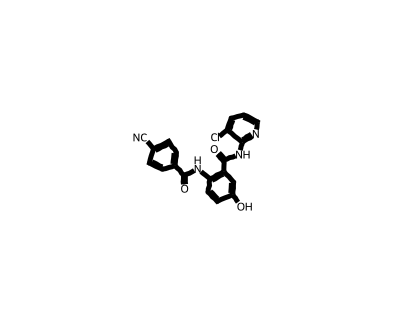 N#Cc1ccc(C(=O)Nc2ccc(O)cc2C(=O)Nc2ncccc2Cl)cc1